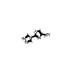 CC(C)c1csc(-n2cnnc2)n1